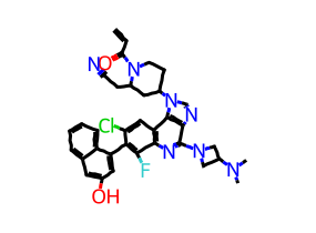 C=CC(=O)N1CCC(n2cnc3c(N4CC(N(C)C)C4)nc4c(F)c(-c5cc(O)cc6ccccc56)c(Cl)cc4c32)CC1CC#N